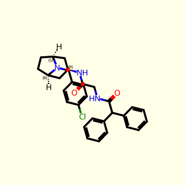 O=C(CNC(=O)C(c1ccccc1)c1ccccc1)N[C@H]1C[C@H]2CC[C@@H](C1)N2Cc1ccc(Cl)cc1